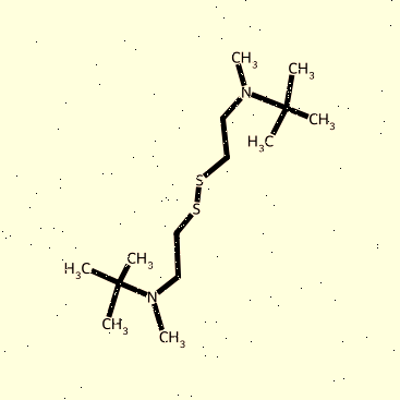 CN(CCSSCCN(C)C(C)(C)C)C(C)(C)C